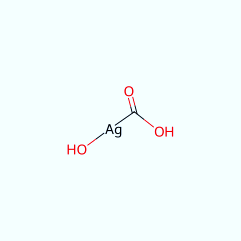 O=[C](O)[Ag][OH]